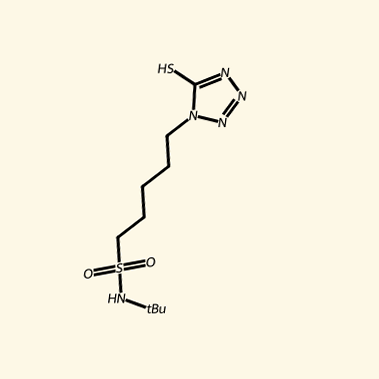 CC(C)(C)NS(=O)(=O)CCCCCn1nnnc1S